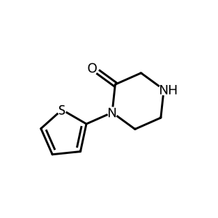 O=C1CNCCN1c1cccs1